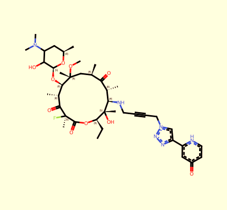 CC[C@H]1OC(=O)[C@@](C)(F)C(=O)[C@H](C)[C@@H](O[C@@H]2O[C@H](C)CC(N(C)C)C2O)[C@](C)(OC)C[C@@H](C)C(=O)[C@H](C)[C@@H](NCC#CCn2cc(-c3cc(=O)cc[nH]3)nn2)[C@]1(C)O